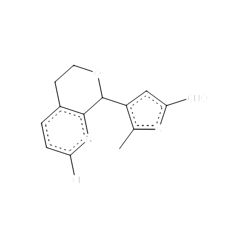 Cc1sc(C=O)cc1C1OCCc2ccc(Cl)nc21